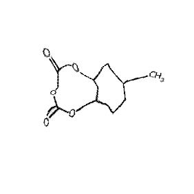 CC1CCC2OC(=O)OC(=O)OC2C1